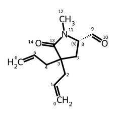 C=CCC1(CC=C)C[C@@H](C=O)N(C)C1=O